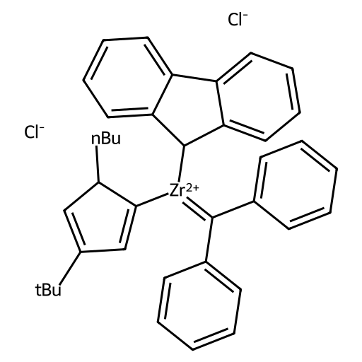 CCCCC1C=C(C(C)(C)C)C=[C]1[Zr+2](=[C](c1ccccc1)c1ccccc1)[CH]1c2ccccc2-c2ccccc21.[Cl-].[Cl-]